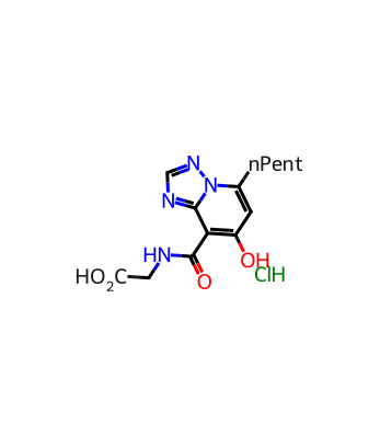 CCCCCc1cc(O)c(C(=O)NCC(=O)O)c2ncnn12.Cl